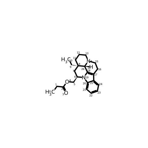 CCC(=O)OC[C@H]1C[C@@]2(CC)CCCN3CCc4c(n1c1ccccc41)[C@@H]32